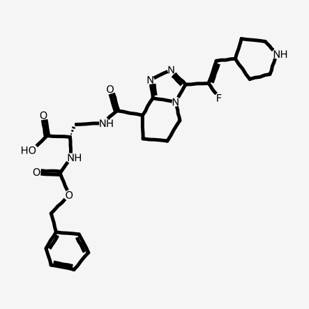 O=C(N[C@@H](CNC(=O)C1CCCn2c(/C(F)=C/C3CCNCC3)nnc21)C(=O)O)OCc1ccccc1